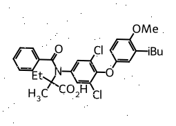 CCC(C)c1cc(Oc2c(Cl)cc(N(C(=O)c3ccccc3)C(C)(CC)C(=O)O)cc2Cl)ccc1OC